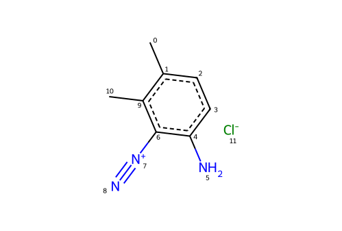 Cc1ccc(N)c([N+]#N)c1C.[Cl-]